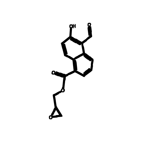 O=Cc1c(O)ccc2c(C(=O)OCC3CO3)cccc12